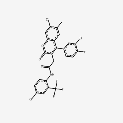 Cc1cc2c(-c3ccc(F)c(Cl)c3)c(CC(=O)Nc3ccc(Cl)cc3C(F)(F)F)c(=O)oc2cc1Cl